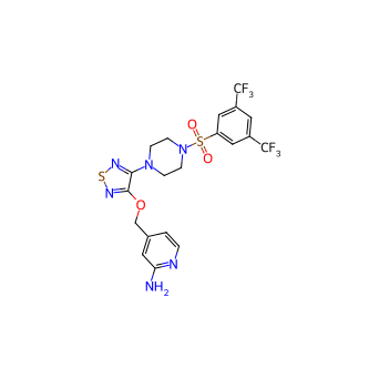 Nc1cc(COc2nsnc2N2CCN(S(=O)(=O)c3cc(C(F)(F)F)cc(C(F)(F)F)c3)CC2)ccn1